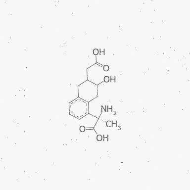 C[C@](N)(C(=O)O)c1cccc2c1CC(O)C(CC(=O)O)C2